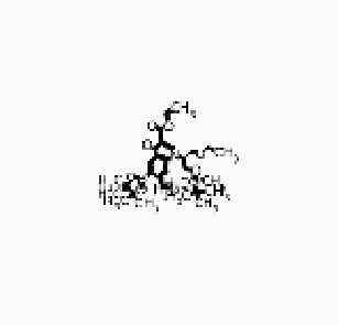 CCOC[C@@H](CO[Si](C)(C)C(C)(C)C)n1cc(C(=O)OCC)c(=O)c2cc(B3OC(C)(C)C(C)(C)O3)c(CC)cc21